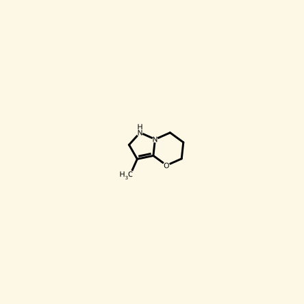 CC1=C2OCCCN2NC1